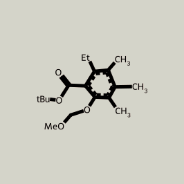 CCc1c(C)c(C)c(C)c(OCOC)c1C(=O)OC(C)(C)C